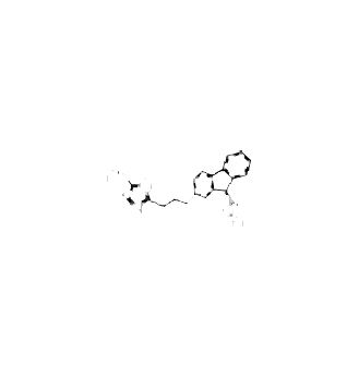 CCO/N=C1/c2ccccc2-c2ccc(CCCc3nnc(C(C)C)o3)cc21